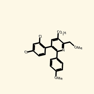 COCc1nc(-c2ccc(OC)cc2)c(-c2ccc(Cl)cc2Cl)cc1C(=O)O